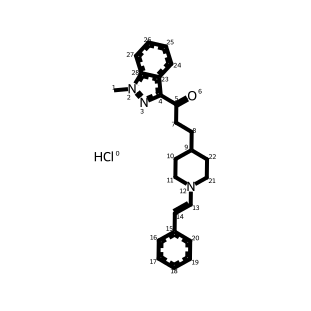 Cl.Cn1nc(C(=O)CCC2CCN(C=Cc3ccccc3)CC2)c2ccccc21